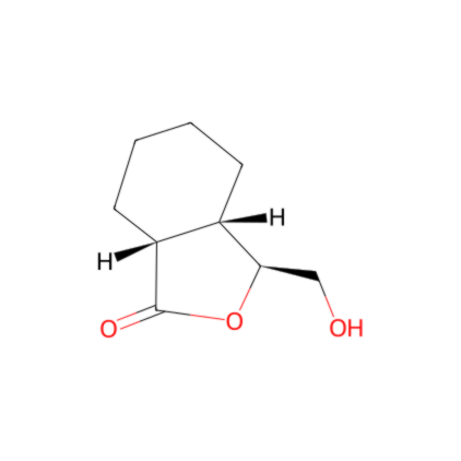 O=C1O[C@H](CO)[C@H]2CCCC[C@@H]12